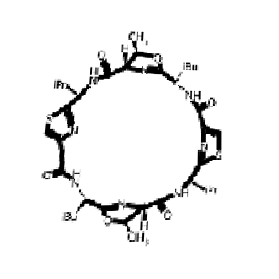 CC[C@H](C)[C@@H]1NC(=O)c2csc(n2)[C@@H](C(C)C)NC(=O)[C@H]2N=C(O[C@@H]2C)[C@H]([C@@H](C)CC)NC(=O)c2csc(n2)[C@@H](C(C)C)NC(=O)[C@H]2N=C1O[C@@H]2C